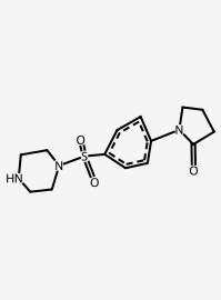 O=C1CCCN1c1ccc(S(=O)(=O)N2CCNCC2)cc1